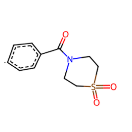 O=C(c1cc[c]cc1)N1CCS(=O)(=O)CC1